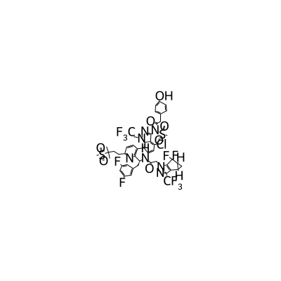 CC(C)(CCc1ccc(-c2ccc(Cl)c3c(N(C(=O)Cc4ccc(O)cc4)S(C)(=O)=O)nn(CC(F)(F)F)c23)c([C@H](Cc2cc(F)cc(F)c2)NC(=O)Cn2nc(C(F)(F)F)c3c2C(F)(F)[C@@H]2C[C@H]32)n1)S(C)(=O)=O